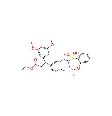 CCOC(=O)CC(c1cc(OC)cc(OC)c1)c1ccc(C)c(CN2C[C@@H](C)Oc3ccccc3S2(O)O)c1